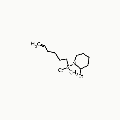 C=CCCCC[Si](C)(Cl)N1CCCCC1CC